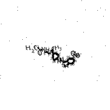 C=CC(=O)NCCCN(C)c1ccc(/N=N/c2snc3ccc([N+](=O)[O-])cc23)cc1